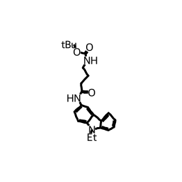 CCn1c2ccccc2c2cc(NC(=O)CCCNC(=O)OC(C)(C)C)ccc21